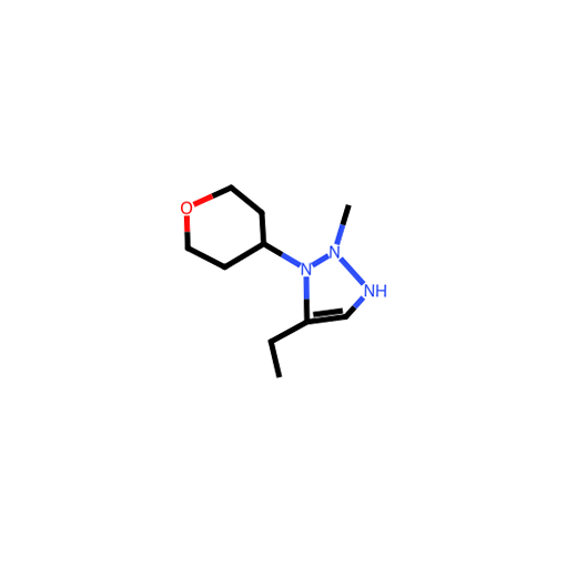 CCC1=CNN(C)N1C1CCOCC1